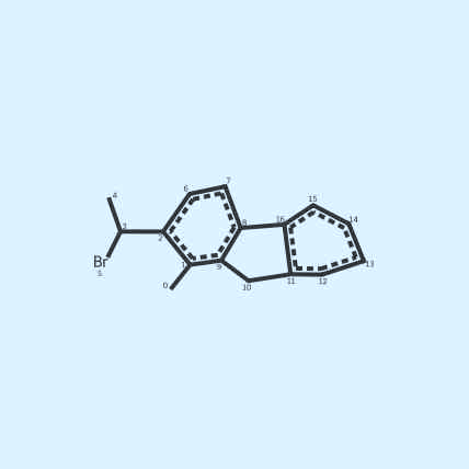 Cc1c(C(C)Br)ccc2c1Cc1ccccc1-2